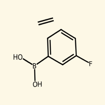 C=C.OB(O)c1cccc(F)c1